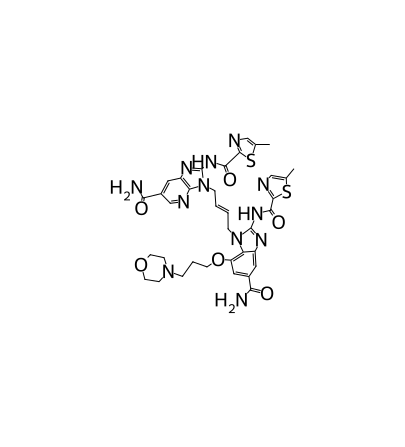 Cc1cnc(C(=O)Nc2nc3cc(C(N)=O)cnc3n2C/C=C/Cn2c(NC(=O)c3ncc(C)s3)nc3cc(C(N)=O)cc(OCCCN4CCOCC4)c32)s1